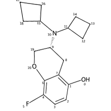 Oc1ccc(F)c2c1C[C@@H](N(C1CCC1)C1CCC1)CO2